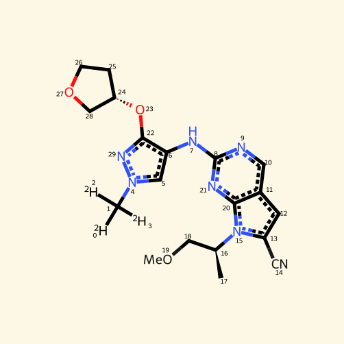 [2H]C([2H])([2H])n1cc(Nc2ncc3cc(C#N)n([C@@H](C)COC)c3n2)c(O[C@H]2CCOC2)n1